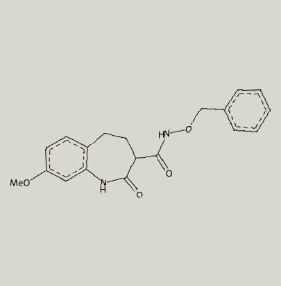 COc1ccc2c(c1)NC(=O)C(C(=O)NOCc1ccccc1)CC2